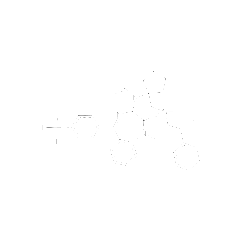 CN1C(=O)C(N(C=O)C2(CNC[C@H](O)c3ccccc3)CCCC2)N=C(c2ccc(C(F)(F)F)cc2)c2ccccc21